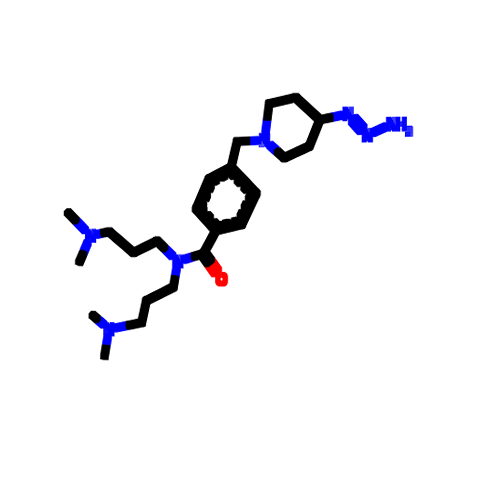 CN(C)CCCN(CCCN(C)C)C(=O)c1ccc(CN2CCC(N=NN)CC2)cc1